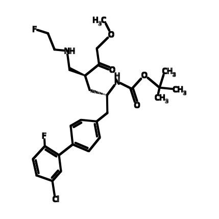 COCC(=O)[C@H](CNCCF)C[C@@H](Cc1ccc(-c2cc(Cl)ccc2F)cc1)NC(=O)OC(C)(C)C